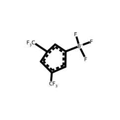 F[B-](F)(F)c1cc(C(F)(F)F)cc(C(F)(F)F)c1